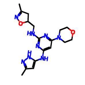 CC1=NOC(CNc2nc(Nc3cc(C)n[nH]3)cc(N3CCOCC3)n2)C1